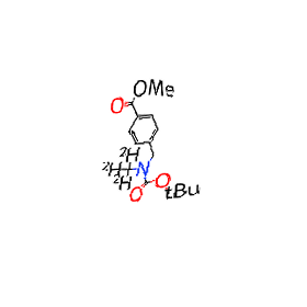 [2H]C([2H])([2H])N(Cc1ccc(C(=O)OC)cc1)C(=O)OC(C)(C)C